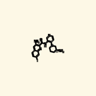 Nc1cc2ccc(I)cc2nc1C(=O)Nc1cnccc1N1CCC[C@H](N)C1